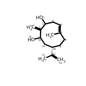 C=C1C(O)C/C=C(\C)CC[C@H](C(=C)C)CC1O